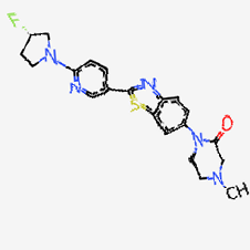 CN1CCN(c2ccc3nc(-c4ccc(N5CC[C@H](F)C5)nc4)sc3c2)C(=O)C1